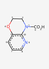 O=C(O)N1CCOc2cccnc21